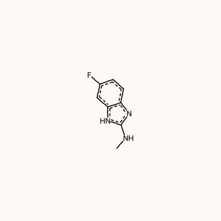 CNc1nc2ccc(F)cc2[nH]1